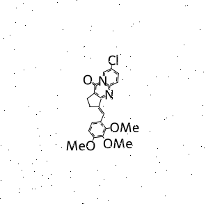 COc1ccc(C=C2CCc3c2nc2ccc(Cl)cn2c3=O)c(OC)c1OC